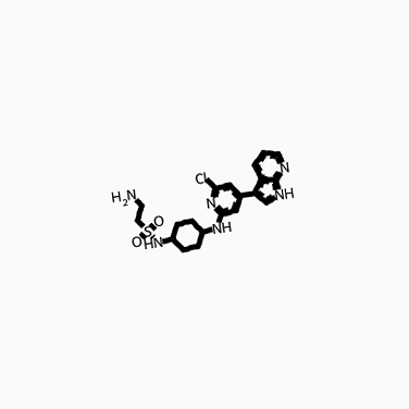 NCCS(=O)(=O)NC1CCC(Nc2cc(-c3c[nH]c4ncccc34)cc(Cl)n2)CC1